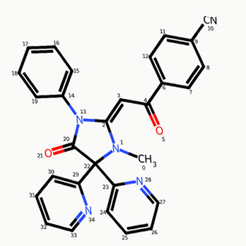 CN1C(=CC(=O)c2ccc(C#N)cc2)N(c2ccccc2)C(=O)C1(c1ccccn1)c1ccccn1